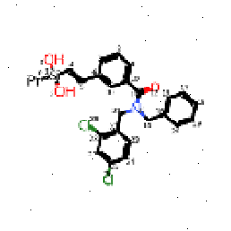 CC(C)[Si](O)(O)C=Cc1cccc(C(=O)N(Cc2ccccc2)Cc2ccc(Cl)cc2Cl)c1